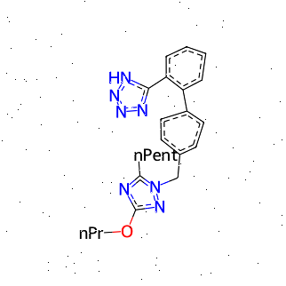 CCCCCc1nc(OCCC)nn1Cc1ccc(-c2ccccc2-c2nnn[nH]2)cc1